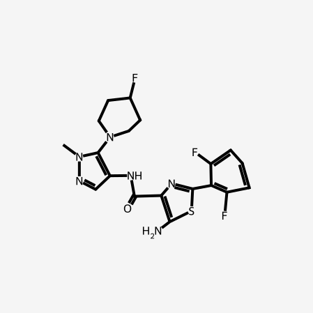 Cn1ncc(NC(=O)c2nc(-c3c(F)cccc3F)sc2N)c1N1CCC(F)CC1